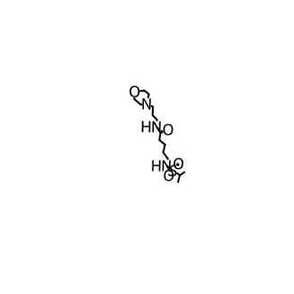 CC(C)S(=O)(=O)NCCCCC(=O)NCCCN1CCOCC1